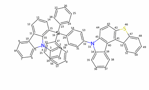 c1ccc(-n2c3ccccc3c3cccc([Si](c4ccccc4)(c4ccccc4)c4ccc(-n5c6ccccc6c6c7c(ccc65)sc5ccccc57)cc4)c32)cc1